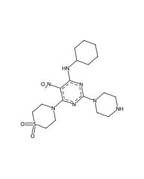 O=[N+]([O-])c1c(NC2CCCCC2)nc(N2CCNCC2)nc1N1CCS(=O)(=O)CC1